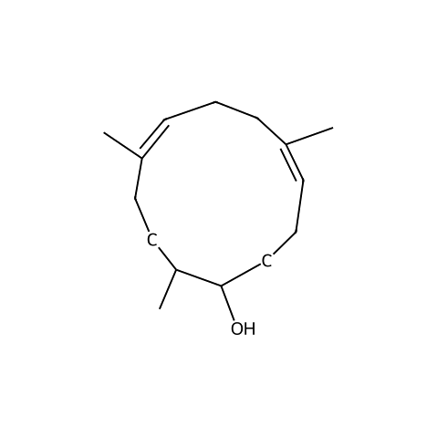 C/C1=C/CCC(O)C(C)CC/C(C)=C\CC1